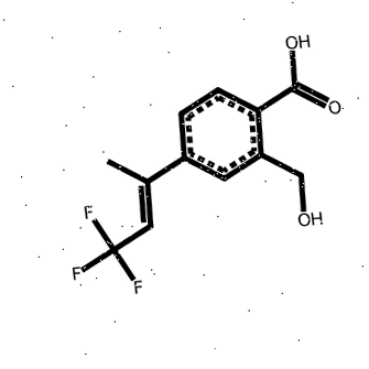 CC(=CC(F)(F)F)c1ccc(C(=O)O)c(CO)c1